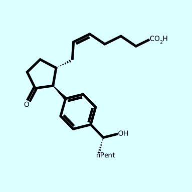 CCCCC[C@@H](O)c1ccc([C@H]2C(=O)CC[C@@H]2C/C=C\CCCC(=O)O)cc1